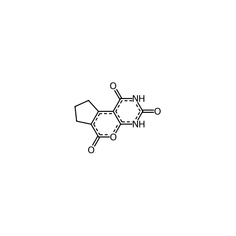 O=c1[nH]c(=O)c2c3c(c(=O)oc2[nH]1)CCC3